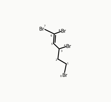 BrCCC(Br)C=C(Br)Br